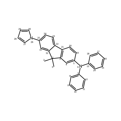 CC1(C)c2cc(N(c3ccccc3)c3ccccc3)ccc2-c2ccc(-n3cccc3)cc21